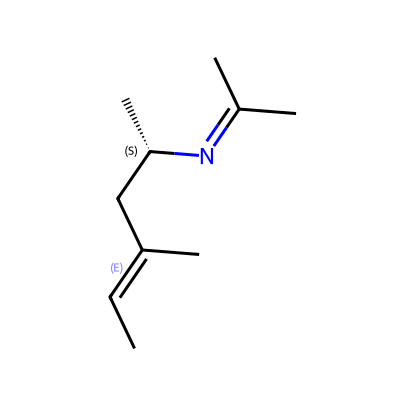 C/C=C(\C)C[C@H](C)N=C(C)C